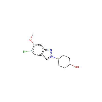 COc1cc2nn(C3CCC(O)CC3)cc2cc1Br